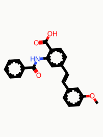 COc1cccc(C=Cc2ccc(C(=O)O)c(NC(=O)c3ccccc3)c2)c1